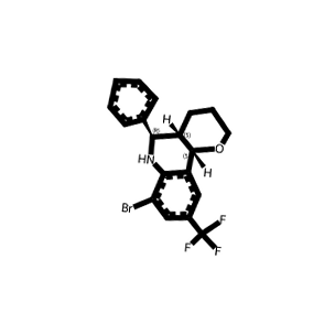 FC(F)(F)c1cc(Br)c2c(c1)[C@H]1OCCC[C@H]1[C@H](c1ccccc1)N2